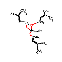 CC(C)=C[SiH2]OC([SiH3])(O[SiH2]C=C(C)C)O[SiH2]C=C(C)C